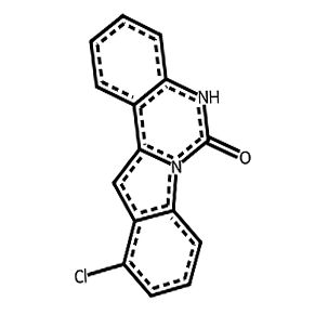 O=c1[nH]c2ccccc2c2cc3c(Cl)cccc3n12